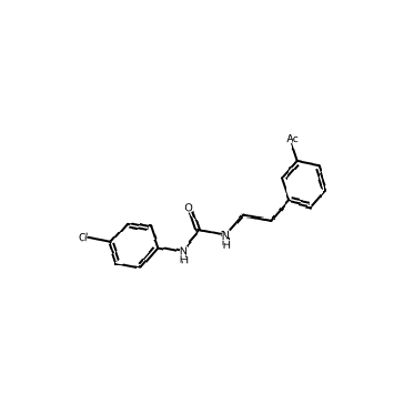 CC(=O)c1cccc(CCNC(=O)Nc2ccc(Cl)cc2)c1